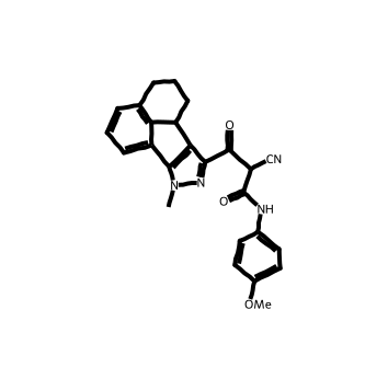 COc1ccc(NC(=O)C(C#N)C(=O)c2nn(C)c3c2C2CCCc4cccc-3c42)cc1